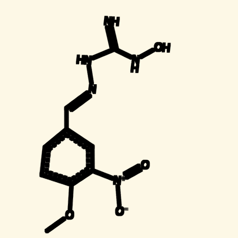 COc1ccc(/C=N/NC(=N)NO)cc1[N+](=O)[O-]